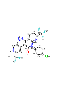 Nc1c(-c2ccnc(C(F)(F)F)c2)c(=O)n(-c2ccc(Cl)cc2)c2nc(C(F)(F)F)ccc12